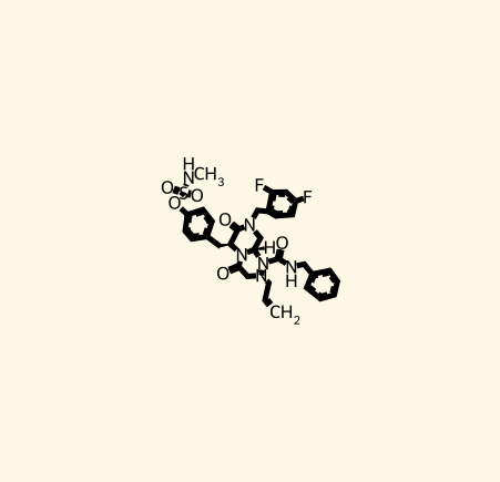 C=CCN1CC(=O)N2[C@@H](Cc3ccc(OS(=O)(=O)NC)cc3)C(=O)N(Cc3ccc(F)cc3F)C[C@@H]2N1C(=O)NCc1ccccc1